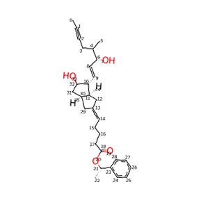 CC#CCC(C)[C@H](O)/C=C/[C@@H]1[C@H]2C/C(=C/CCCC(=O)O[C@@H](C)c3ccccc3)C[C@H]2C[C@H]1O